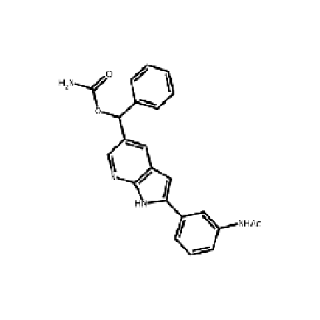 CC(=O)Nc1cccc(-c2cc3cc(C(OC(N)=O)c4ccccc4)cnc3[nH]2)c1